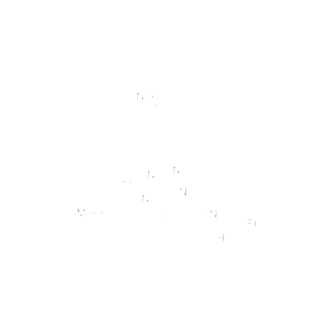 CCC(O)CNCCn1c(Cc2ccccc2)nc2c1c(=O)n(CCCOC)c(=O)n2CCc1ccc([N+](=O)[O-])cc1